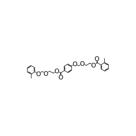 Cc1ccccc1OCOCCOC(=O)c1ccc(OCOCCOC(=O)c2ccccc2C)cc1